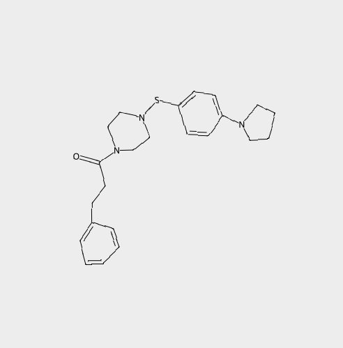 O=C(CCc1ccccc1)N1CCN(Sc2ccc(N3CCCC3)cc2)CC1